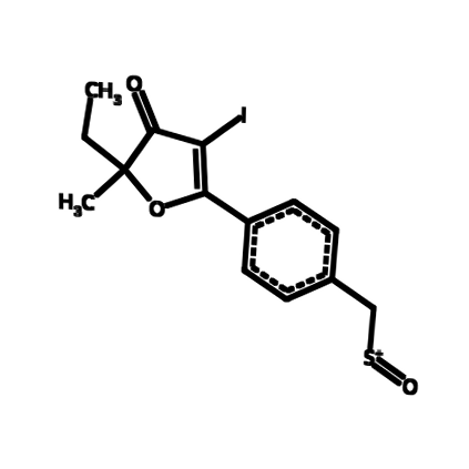 CCC1(C)OC(c2ccc(C[S+]=O)cc2)=C(I)C1=O